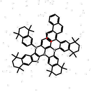 Cc1cc2c3c(c1)N(c1ccc4c(c1)C(C)(C)CCC4(C)C)c1c(sc4cc5c(cc14)C(C)(C)CCC5(C)C)B3c1cc3c(cc1N2c1cc2c(cc1-c1cccc4c1ccc1ccccc14)C(C)(C)CCC2(C)C)C(C)(C)CCC3(C)C